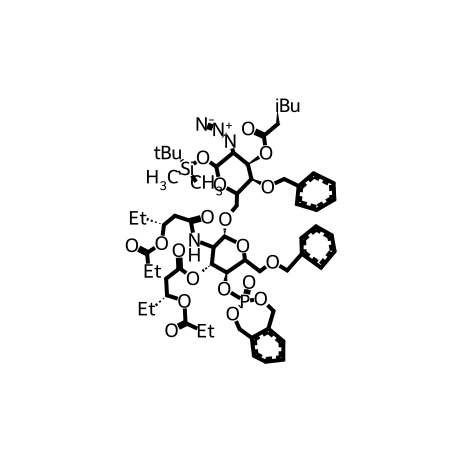 CCC(=O)O[C@H](CC)CC(=O)NC1[C@H](OCC2OC(O[Si](C)(C)C(C)(C)C)C(N=[N+]=[N-])[C@@H](OC(=O)C[C@H](C)CC)[C@H]2OCc2ccccc2)OC(COCc2ccccc2)[C@@H](OP2(=O)OCc3ccccc3CO2)[C@@H]1OC(=O)C[C@@H](CC)OC(=O)CC